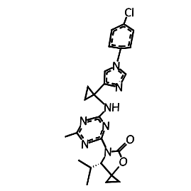 Cc1nc(NC2(c3cn(-c4ccc(Cl)cc4)cn3)CC2)nc(N2C(=O)OC3(CC3)[C@@H]2C(C)C)n1